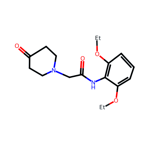 CCOc1cccc(OCC)c1NC(=O)CN1CCC(=O)CC1